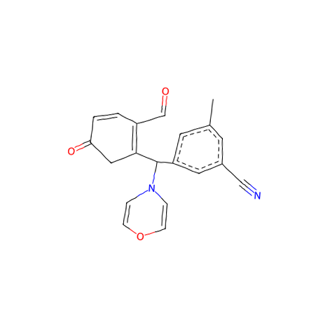 Cc1cc(C#N)cc(C(C2=C(C=O)C=CC(=O)C2)N2C=COC=C2)c1